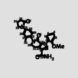 COc1ccccc1-n1nc(C(N)=O)c2c1C(=O)N(c1ccc(N3CCCC3=O)cc1C)CC2